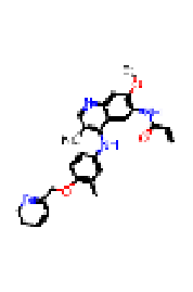 C=CC(=O)Nc1cc2c(Nc3ccc(OCC4=NCCC=C4)c(C)c3)c(C#N)cnc2cc1OCC